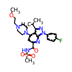 COCCN1CCN(c2cc(C(=O)NS(C)(=O)=O)nc3c2c(C(C)C)nn3-c2ccc(F)cc2)CC1